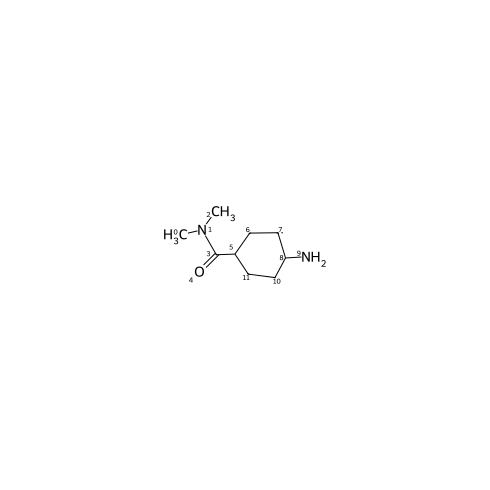 CN(C)C(=O)C1C[CH]C(N)CC1